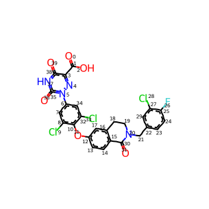 O=C(O)c1nn(-c2cc(Cl)c(Oc3ccc4c(c3)CCN(Cc3ccc(F)c(Cl)c3)C4=O)c(Cl)c2)c(=O)[nH]c1=O